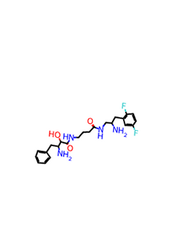 NC(CNC(=O)CCCNC(=O)C(O)C(N)Cc1ccccc1)Cc1cc(F)ccc1F